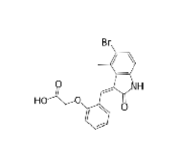 Cc1c(Br)ccc2c1C(=Cc1ccccc1OCC(=O)O)C(=O)N2